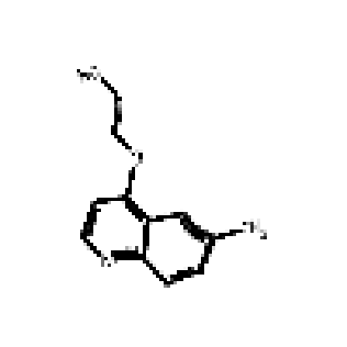 Cc1ccc2nccc(OCCO)c2c1